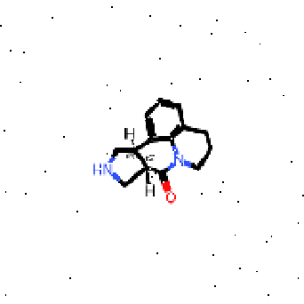 O=C1[C@@H]2CNC[C@H]2c2cccc3c2N1CCC3